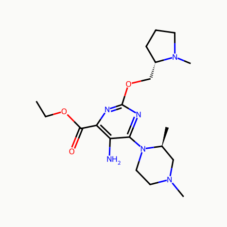 CCOC(=O)c1nc(OC[C@@H]2CCCN2C)nc(N2CCN(C)C[C@@H]2C)c1N